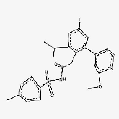 COc1cc(-c2cc(F)cc(C(C)C)c2CC(=O)NS(=O)(=O)c2ccc(C)cc2)ccn1